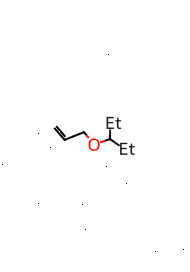 C=CCOC(CC)CC